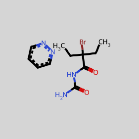 CCC(Br)(CC)C(=O)NC(N)=O.c1ccnnc1